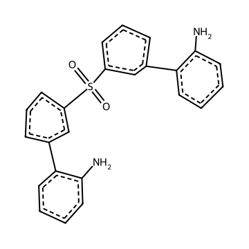 Nc1ccccc1-c1cccc(S(=O)(=O)c2cccc(-c3ccccc3N)c2)c1